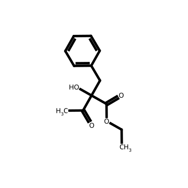 CCOC(=O)C(O)(Cc1ccccc1)C(C)=O